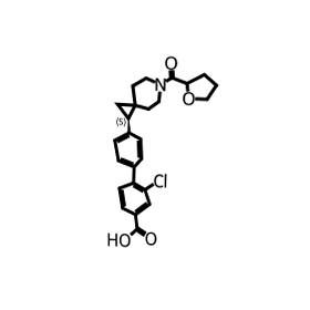 O=C(O)c1ccc(-c2ccc([C@H]3CC34CCN(C(=O)C3CCCO3)CC4)cc2)c(Cl)c1